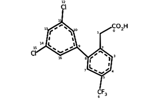 O=C(O)Cc1ccc(C(F)(F)F)cc1-c1cc(Cl)cc(Cl)c1